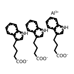 O=C([O-])CCCc1c[nH]c2ccccc12.O=C([O-])CCCc1c[nH]c2ccccc12.O=C([O-])CCCc1c[nH]c2ccccc12.[Al+3]